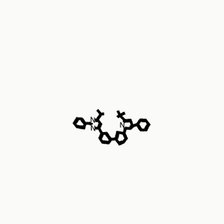 CC(C)c1cc(-c2cccc(-c3cccc(-c4cc(-c5ccccc5)cc(C(C)(C)C)n4)c3)c2)nc(-c2ccccc2)n1